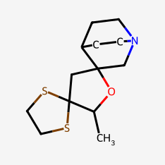 CC1OC2(CN3CCC2CC3)CC12SCCS2